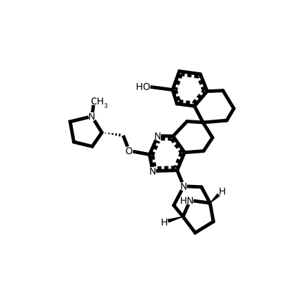 CN1CCC[C@H]1COc1nc2c(c(N3C[C@H]4CC[C@@H](C3)N4)n1)CCC1(CCCc3ccc(O)cc31)C2